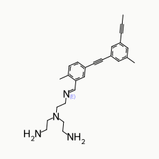 CC#Cc1cc(C)cc(C#Cc2ccc(C)c(/C=N/CCN(CCN)CCN)c2)c1